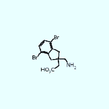 NCC1(CC(=O)O)Cc2c(Br)ccc(Br)c2C1